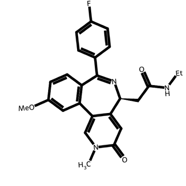 CCNC(=O)C[C@@H]1N=C(c2ccc(F)cc2)c2ccc(OC)cc2-c2cn(C)c(=O)cc21